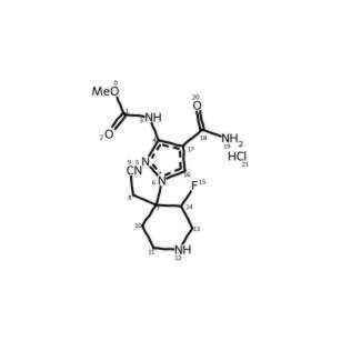 COC(=O)Nc1nn(C2(CC#N)CCNCC2F)cc1C(N)=O.Cl